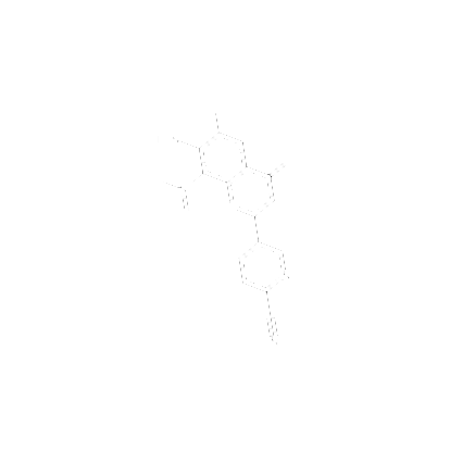 N#Cc1ccc(-c2cc(=O)c3cc(F)c(N)c([N+](=O)[O-])c3o2)cn1